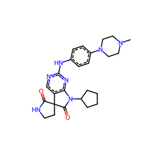 CN1CCN(c2ccc(Nc3ncc4c(n3)N(C3CCCC3)C(=O)C43CCNC3=O)cc2)CC1